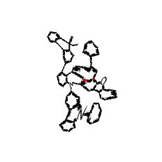 CC1(C)c2ccccc2-c2cc(-c3cccc(N(c4ccc5oc6ccccc6c5c4)c4ccc5c6ccccc6n(-c6ccccc6)c5c4)c3-c3cccc(-c4ccccc4)c3)ccc21